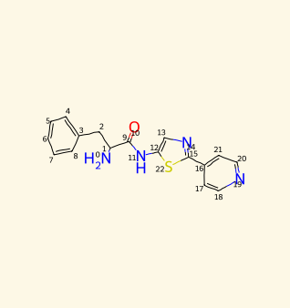 NC(Cc1ccccc1)C(=O)Nc1cnc(-c2ccncc2)s1